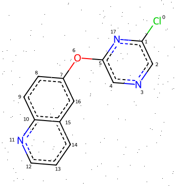 Clc1cncc(Oc2ccc3ncccc3c2)n1